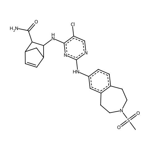 CS(=O)(=O)N1CCc2ccc(Nc3ncc(Cl)c(NC4C5C=CC(C5)C4C(N)=O)n3)cc2CC1